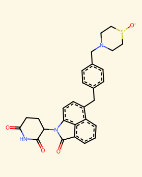 O=C1CCC(N2C(=O)c3cccc4c(Cc5ccc(CN6CC[S+]([O-])CC6)cc5)ccc2c34)C(=O)N1